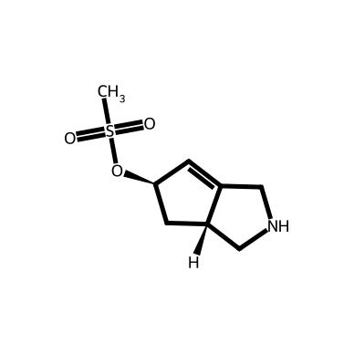 CS(=O)(=O)O[C@H]1C=C2CNC[C@@H]2C1